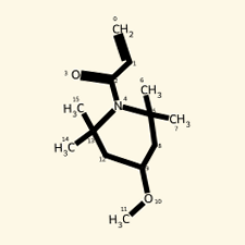 C=CC(=O)N1C(C)(C)CC(OC)CC1(C)C